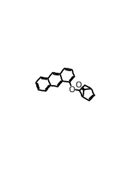 O=C1C2C=CC1C(Oc1cccc3cc4ccccc4cc13)C2